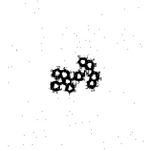 c1ccc(-c2c3ccccc3c(-c3ccc(-n4c5c6ccccc6ccc5c5ccc6ccccc6c54)cc3)c3ccc4ccccc4c23)cc1